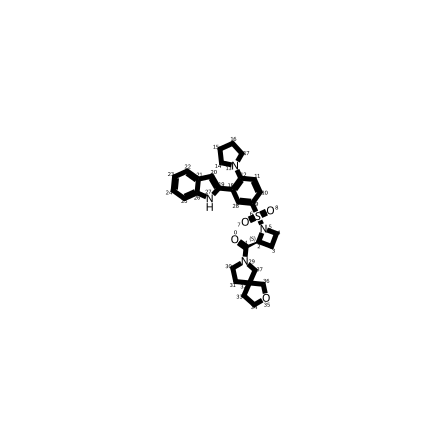 O=C([C@@H]1CCN1S(=O)(=O)c1ccc(N2CCCC2)c(-c2cc3ccccc3[nH]2)c1)N1CCC2(CCOC2)C1